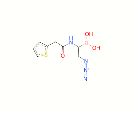 [N-]=[N+]=NCC(NC(=O)Cc1cccs1)B(O)O